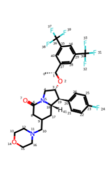 C[C@@H](O[C@H]1CN2C(=O)CC(CN3CCOCC3)C[C@H]2[C@@H]1c1ccc(F)cc1)c1cc(C(F)(F)F)cc(C(F)(F)F)c1